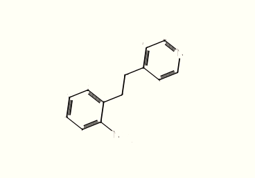 O=[N+]([O-])c1ccccc1C[CH]c1ccncc1